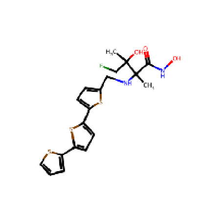 CC(O)(CF)C(C)(NCc1ccc(-c2ccc(-c3cccs3)s2)s1)C(=O)NO